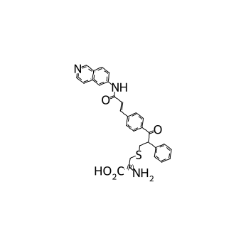 N[C@@H](CSCC(C(=O)c1ccc(C=CC(=O)Nc2ccc3cnccc3c2)cc1)c1ccccc1)C(=O)O